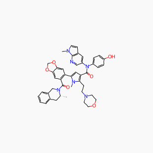 C[C@@H]1Cc2ccccc2CN1C(=O)c1cc2c(cc1-c1cc(C(=O)N(c3ccc(O)cc3)c3cnc4c(ccn4C)c3)c(CCN3CCOCC3)n1C)OCO2